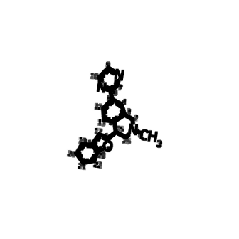 CN1Cc2cc(-c3cnccn3)ccc2C(c2cc3ccccc3o2)C1